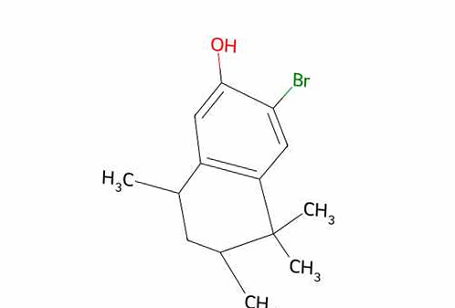 CC1CC(C)C(C)(C)c2cc(Br)c(O)cc21